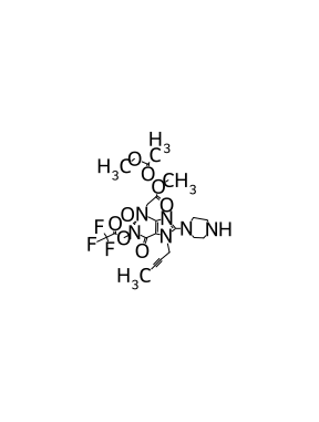 CC#CCn1c(N2CCNCC2)nc2c1c(=O)n(OC(=O)C(F)(F)F)c(=O)n2CC(=O)OC.COC(C)=O